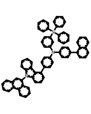 c1ccc([Si](c2ccccc2)(c2ccccc2)c2cccc(N(c3ccc(-c4cccc5ccccc45)cc3)c3ccc(-c4cccc5c4c4ccccc4n5-c4cc5ccccc5c5ccccc45)cc3)c2)cc1